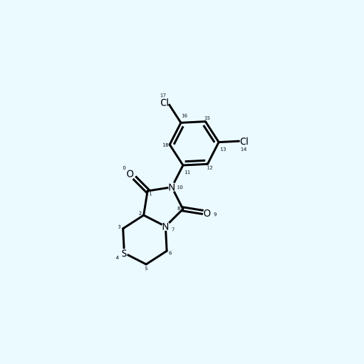 O=C1C2CSCCN2C(=O)N1c1cc(Cl)cc(Cl)c1